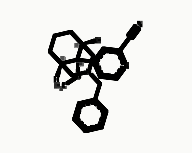 CO[C@@]1(c2ccnc(C#N)c2)[C@@H]2CCC[C@H]1CN(Cc1ccccc1)C2